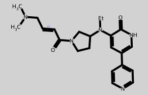 CCN(c1cc(-c2ccncc2)c[nH]c1=O)C1CCN(C(=O)/C=C/CN(C)C)C1